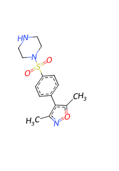 Cc1noc(C)c1-c1ccc(S(=O)(=O)N2CCNCC2)cc1